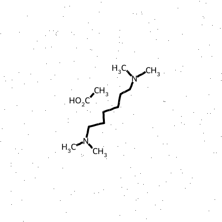 CC(=O)O.CN(C)CCCCCCN(C)C